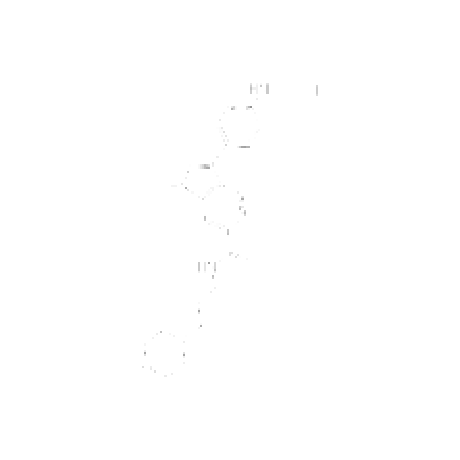 O=C(O)Nc1ccc(-c2c[nH]c3cc(C(=O)NCCCN4CCOCC4)ccc23)cc1